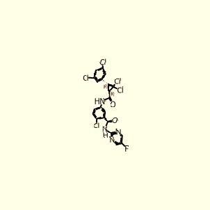 O=C(Nc1ncc(F)cn1)c1cc(NC(=O)[C@H]2[C@H](c3cc(Cl)cc(Cl)c3)C2(Cl)Cl)ccc1Cl